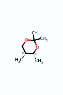 C[C@@H]1COC(C)(C)O[C@@H]1C